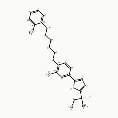 C[C@](N)(CO)c1nnc(-c2ccc(OCCCCOc3ccccc3C(F)(F)F)c(C(F)(F)F)c2)s1